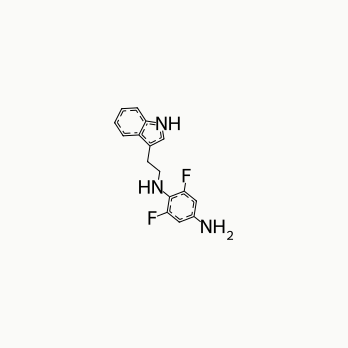 Nc1cc(F)c(NCCc2c[nH]c3ccccc23)c(F)c1